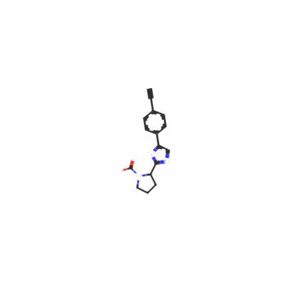 C#Cc1ccc(-c2cnc(C3CCCN3C(=O)O)[nH]2)cc1